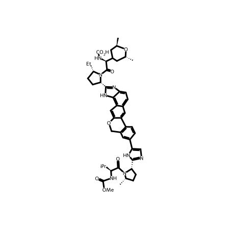 CC[C@H]1CC[C@@H](c2nc3ccc4cc5c(cc4c3[nH]2)OCc2cc(-c3cnc([C@@H]4CC[C@H](C)N4C(=O)[C@@H](NC(=O)OC)C(C)C)[nH]3)ccc2-5)N1C(=O)[C@@H](NC(=O)O)C1C[C@@H](C)O[C@H](C)C1